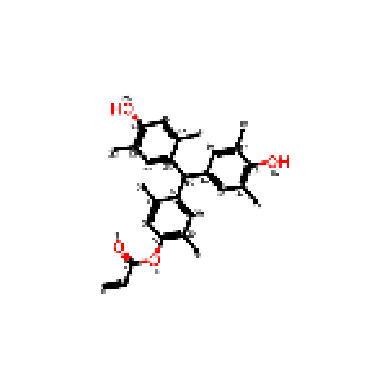 C=CC(=O)Oc1cc(C)c(C(c2cc(C)c(O)c(C)c2)c2cc(C)c(O)cc2C)cc1C